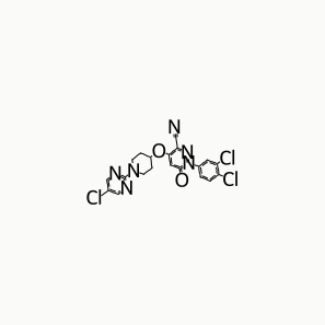 N#Cc1nn(-c2ccc(Cl)c(Cl)c2)c(=O)cc1OC1CCN(c2ncc(Cl)cn2)CC1